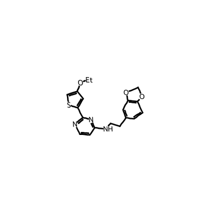 CCOc1csc(-c2nccc(NCCc3ccc4c(c3)OCO4)n2)c1